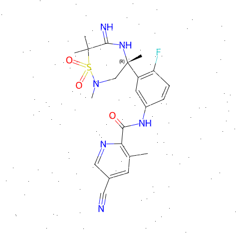 Cc1cc(C#N)cnc1C(=O)Nc1ccc(F)c([C@]2(C)CN(C)S(=O)(=O)C(C)(C)C(=N)N2)c1